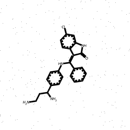 NCCC(N)c1ccc(NC(=C2C(=O)Nc3cc(Cl)ccc32)c2ccccc2)cc1